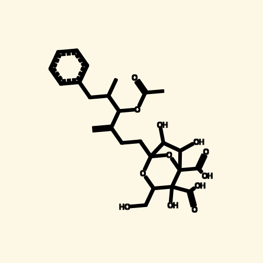 C=C(CCC12OC(CO)C(O)(C(=O)O)C(C(=O)O)(O1)C(O)C2O)C(OC(C)=O)C(C)Cc1ccccc1